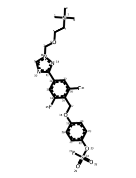 C[Si](C)(C)CCOCn1cnc(-c2cc(F)c(COc3ccc(OS(=O)(=O)F)cc3)c(F)c2)n1